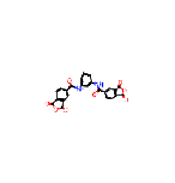 O=C(Nc1cccc(NC(=O)c2ccc3c(c2)C(=O)OC3=O)c1)c1ccc2c(c1)C(=O)OC2=O